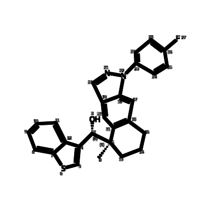 C[C@@]1([C@@H](O)c2csc3ccccc23)CCCc2cc3c(cnn3-c3ccc(F)cc3)cc21